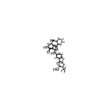 CC(C)(C)C(CN1Cc2ccc(Nc3nn(C4CCCCC4C#N)c4cc[nH]c(=O)c34)cc2C1)C(=O)O